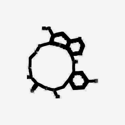 CCN1CC(=O)NCCCOc2cc3c(ncnc3cc2OC)Nc2cc(Cl)ccc2C1